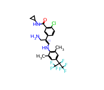 Cc1cc(C(F)(C(F)(F)F)C(F)(F)F)cc(C)c1N/C=C(\CN)c1ccc(Cl)c(C(=O)NC2CC2)c1